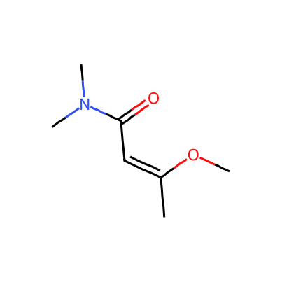 CO/C(C)=C\C(=O)N(C)C